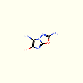 Nc1nn2c(N)c(O)nc2o1